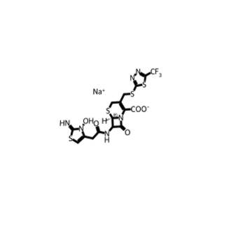 N=c1scc(CC(=O)NC2C(=O)N3C(C(=O)[O-])=C(CSc4nnc(C(F)(F)F)s4)CS[C@H]23)n1O.[Na+]